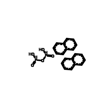 O=[PH](O)O[PH](=O)O.c1ccc2ccccc2c1.c1ccc2ccccc2c1